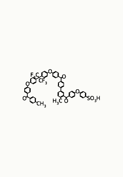 Cc1ccc(C(=O)c2ccc(Oc3ccc(C(c4ccc(Oc5ccc(C(=O)c6ccc(-c7ccc(C)c(C(=O)c8ccc(Oc9ccc(S(=O)(=O)O)cc9)cc8)c7)cc6)cc5)cc4)(C(F)(F)F)C(F)(F)F)cc3)cc2)cc1